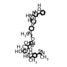 Cc1ncsc1-c1ccc(C(C)NC(=O)[C@@H]2C[C@@H](O)CN2C(=O)C(c2cc(OCCN(C)C3CCC(N4CCN5c6cc(-c7ccccc7O)nnc6NC[C@H]5C4)CC3)no2)C(C)C)cc1